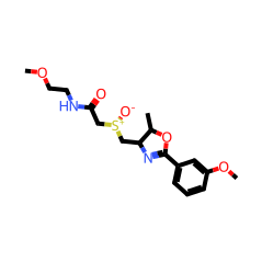 COCCNC(=O)C[S+]([O-])CC1N=C(c2cccc(OC)c2)OC1C